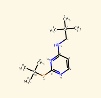 C[Si](C)(C)CNc1ccnc(S[Si](C)(C)C)n1